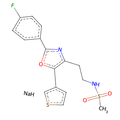 CS(=O)(=O)NCCc1nc(-c2ccc(F)cc2)oc1-c1ccsc1.[NaH]